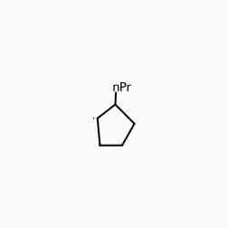 [CH2]CCC1[CH]CCC1